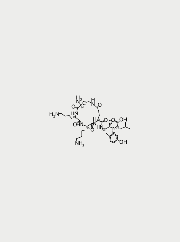 CC(C)C[C@H](NC(=O)[C@H](Cc1ccc(O)cc1)NC(=O)[C@@H]1CCC(=O)NCC[C@H](N)C(=O)N[C@@H](CCCCN)C(=O)N[C@@H](CCCCN)C(=O)N1)C(=O)O